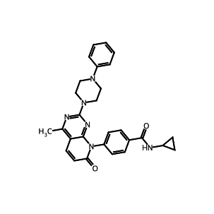 Cc1nc(N2CCN(c3ccccc3)CC2)nc2c1ccc(=O)n2-c1ccc(C(=O)NC2CC2)cc1